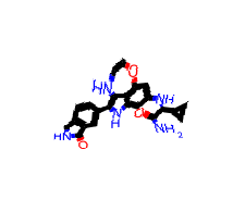 NC(=O)[C@@H](Nc1cc2c3c(c(-c4ccc5c(c4)C(=O)NC5)[nH]c3c1)NCCO2)C1CC1